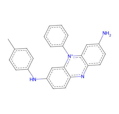 Cc1ccc(Nc2ccc3nc4ccc(N)cc4[n+](-c4ccccc4)c3c2)cc1